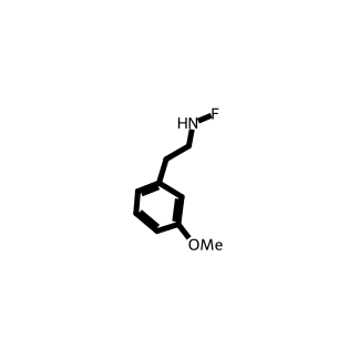 COc1cccc(CCNF)c1